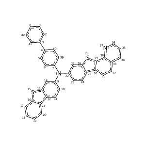 c1ccc(-c2ccc(N(c3ccc4c(c3)sc3ccccc34)c3ccc4c(c3)sc3c4ccc4cccnc43)cc2)cc1